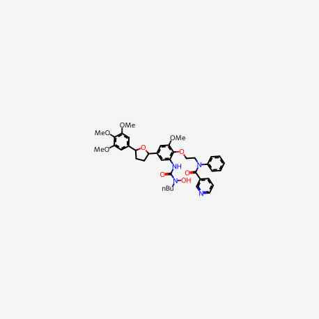 CCCCN(O)C(=O)Nc1cc(C2CCC(c3cc(OC)c(OC)c(OC)c3)O2)cc(OC)c1OCCN(C(=O)c1cccnc1)c1ccccc1